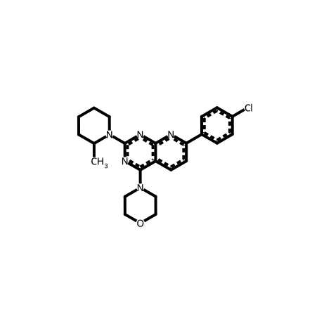 CC1CCCCN1c1nc(N2CCOCC2)c2ccc(-c3ccc(Cl)cc3)nc2n1